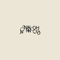 CCN1CCC2CCN(c3nnc(-c4ccc5c(c4O)CCO5)c(C)n3)C2C1